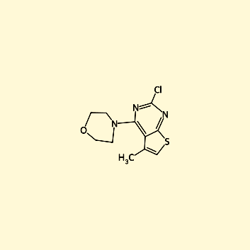 Cc1csc2nc(Cl)nc(N3CCOCC3)c12